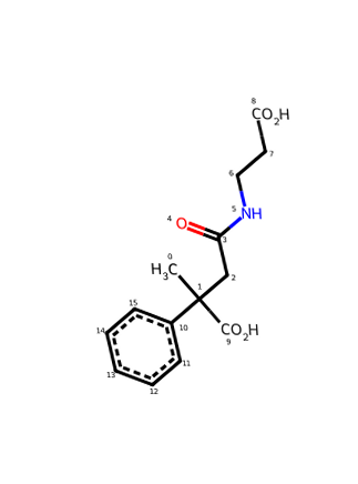 CC(CC(=O)NCCC(=O)O)(C(=O)O)c1ccccc1